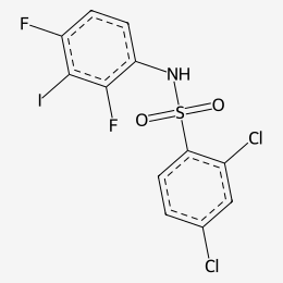 O=S(=O)(Nc1ccc(F)c(I)c1F)c1ccc(Cl)cc1Cl